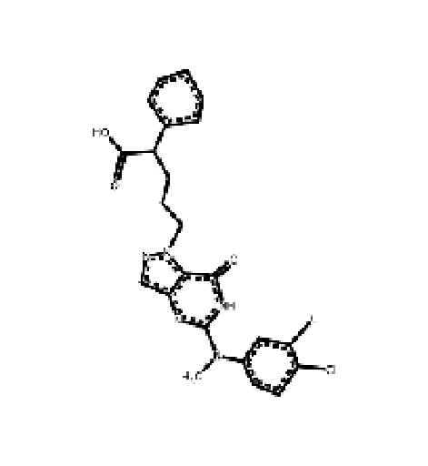 CN(c1ccc(Cl)c(Cl)c1)c1nc2cnn(CCCC(C(=O)O)c3ccccc3)c2c(=O)[nH]1